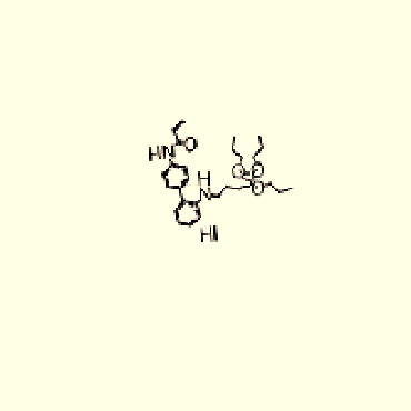 C=CC(=O)Nc1ccc(-c2ccccc2NCCC[Si](OCCC)(OCCC)OCCC)cc1.I